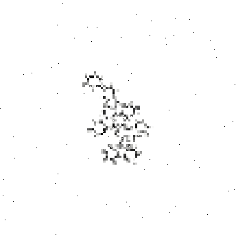 c1ccc(-c2ccc3c(c2)c2cc4c5ccccc5n(-c5nc(-n6c7ccccc7c7ccccc76)c6sc7ccccc7c6n5)c4c4c5ccccc5n3c24)cc1